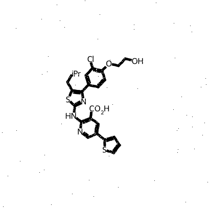 CC(C)Cc1sc(Nc2ncc(-c3cccs3)cc2C(=O)O)nc1-c1ccc(OCCO)c(Cl)c1